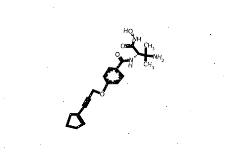 CC(C)(N)[C@H](NC(=O)c1ccc(OCC#CC2=CCCC2)cc1)C(=O)NO